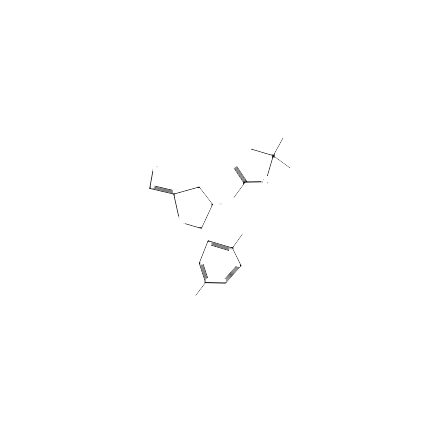 CC(C)(C)NC(=O)O[C@H]1CC(=CBr)O[C@H]1c1cc(F)ccc1F